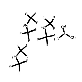 FC(F)(F)NC(F)(F)F.FC(F)(F)NC(F)(F)F.FC(F)(F)NC(F)(F)F.OP(O)O